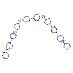 c1ccc(-[n+]2ccc(-c3cc[n+](-c4ccc(Oc5ccc(-c6ccc(Oc7ccc(-[n+]8ccc(-c9cc[n+](-c%10ccccc%10)cc9)cc8)cc7)cc6)cc5)cc4)cc3)cc2)cc1